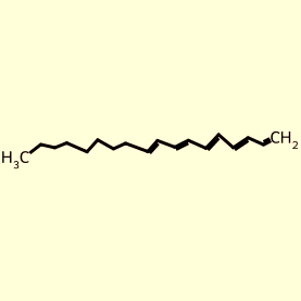 C=CC=CC=CC=CC=CCCCCCCCC